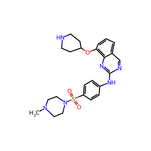 CN1CCN(S(=O)(=O)c2ccc(Nc3ncc4cccc(OC5CCNCC5)c4n3)cc2)CC1